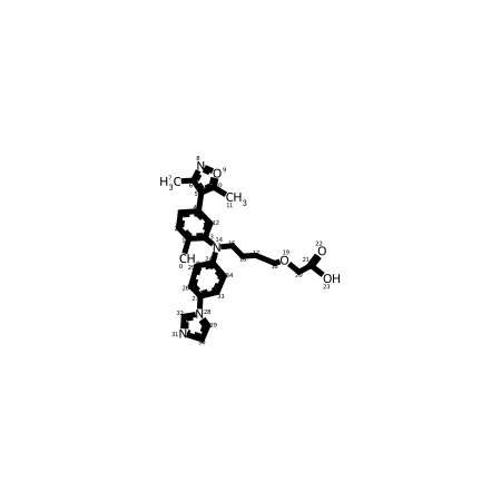 Cc1ccc(-c2c(C)noc2C)cc1N(CCCCOCC(=O)O)c1ccc(-n2ccnc2)cc1